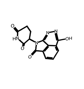 O=C1CCC(N2C(=O)c3cccc4c(O)nnc2c34)C(=O)N1